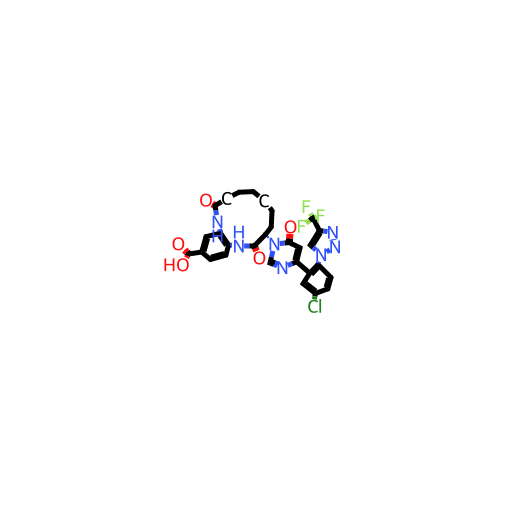 O=C1CCCCCC[C@H](n2cnc(-c3cc(Cl)ccc3-n3cc(C(F)(F)F)nn3)cc2=O)C(=O)Nc2ccc(C(=O)O)cc2N1